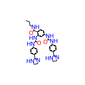 CCCNC(=O)c1ccc(NC(=O)Nc2ccc(C3=NCCN3)cc2)cc1NC(=O)Nc1ccc(C2=NCCN2)cc1